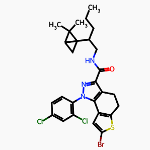 CCCC(CNC(=O)c1nn(-c2ccc(Cl)cc2Cl)c2c1CCc1sc(Br)cc1-2)C12CC1C2(C)C